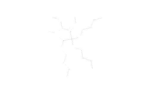 CCCCOC(C)C(OCCCC)(OCCCC)[SiH](OC)C(OC)OC